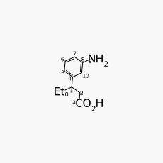 CCC(CC(=O)O)c1cccc(N)c1